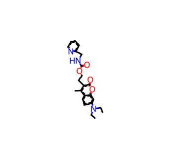 CCN(CC)c1ccc2c(C)c(CCOC(=O)NCc3ccccn3)c(=O)oc2c1